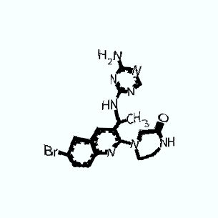 CC(Nc1ncnc(N)n1)c1cc2cc(Br)ccc2nc1N1CCNC(=O)C1